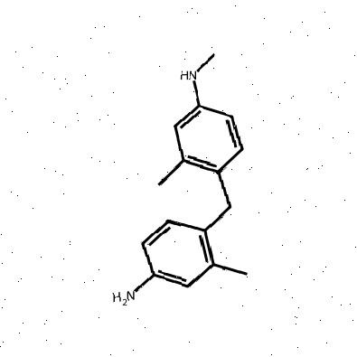 CNc1ccc(Cc2ccc(N)cc2C)c(C)c1